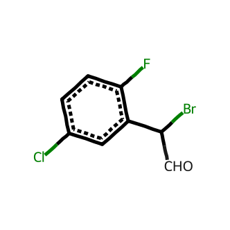 O=CC(Br)c1cc(Cl)ccc1F